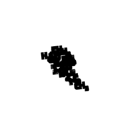 COc1ccc(-n2nc3c(c2OS(=O)(=O)C(F)(F)F)CN(C(=O)OC(C)(C)C)CC3)cc1